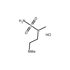 CNCCN(C)S(N)(=O)=O.Cl